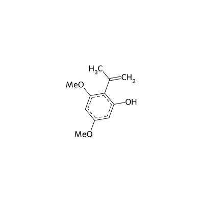 C=C(C)c1c(O)cc(OC)cc1OC